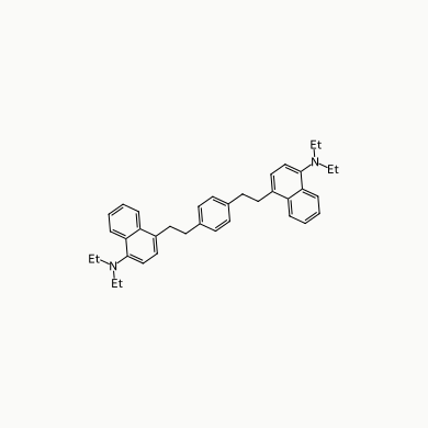 CCN(CC)c1ccc(CCc2ccc(CCc3ccc(N(CC)CC)c4ccccc34)cc2)c2ccccc12